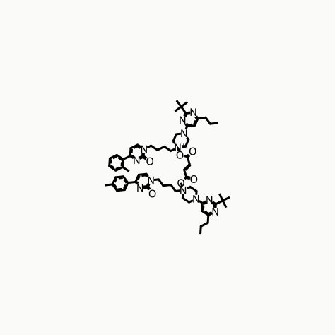 CCCc1cc(N2CC[N+](CCCCn3ccc(-c4ccc(C)cc4)nc3=O)(OC(=O)/C=C/C(=O)O[N+]3(CCCCn4ccc(-c5ccccc5C)nc4=O)CCN(c4cc(CCC)nc(C(C)(C)C)n4)CC3)CC2)nc(C(C)(C)C)n1